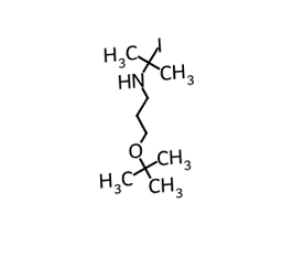 CC(C)(I)NCCCOC(C)(C)C